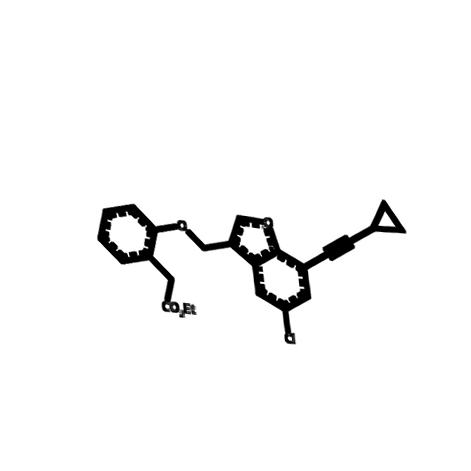 CCOC(=O)Cc1ccccc1OCc1coc2c(C#CC3CC3)cc(Cl)cc12